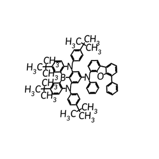 CC(C)(C)c1ccc(N2c3ccc(C(C)(C)C)cc3B3c4cc(C(C)(C)C)ccc4N(c4ccc(C(C)(C)C)cc4)c4cc(N(c5ccccc5)c5cccc6c5oc5c(-c7ccccc7)cccc56)cc2c43)cc1